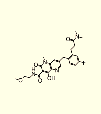 COCCNC(=O)c1c(O)c2ncc(Cc3ccc(F)cc3CCC(=O)N(C)C)cc2n(C)c1=O